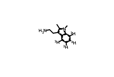 [2H]c1c([2H])c([2H])c2c(c1[2H])c(CCN)c(C)n2C